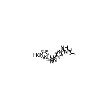 C=C/C=C\N=C(/N)N1CCC(c2nnc(CN3CCCC(O)C3)o2)CC1